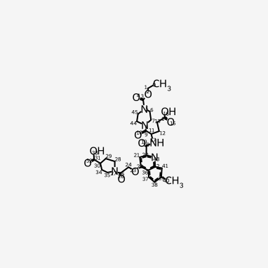 CCOC(=O)N1CCN(C(=O)C(CCC(=O)O)NC(=O)c2cc(OCC(=O)N3CCC(C(=O)O)CC3)c3ccc(C)cc3n2)CC1